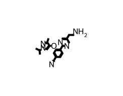 Cc1nn(C(C)C)cc1Oc1cc(C#N)ccc1-c1ncc(CCN)cn1